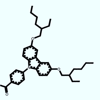 CCCCC(CC)COc1ccc2c(c1)c1cc(OCC(CC)CCCC)ccc1n2-c1ccc(C(=O)O)cc1